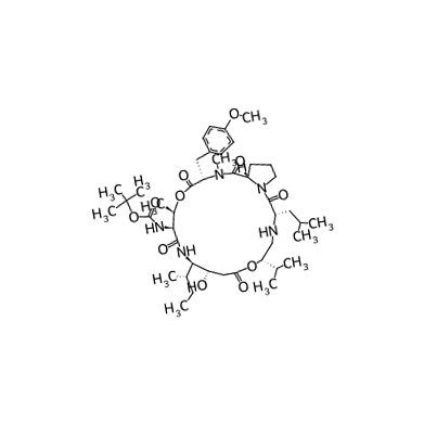 CC[C@H](C)[C@H]1NC(=O)[C@@H](NC(=O)OC(C)(C)C)[C@@H](C)OC(=O)[C@H](Cc2ccc(OC)cc2)N(C)C(=O)[C@@H]2CCCN2C(=O)[C@H](CC(C)C)NC[C@H](C(C)C)OC(=O)C[C@@H]1O